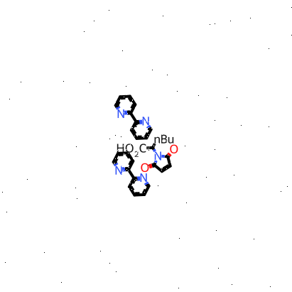 CCCCC(C(=O)O)N1C(=O)C=CC1=O.c1ccc(-c2ccccn2)nc1.c1ccc(-c2ccccn2)nc1